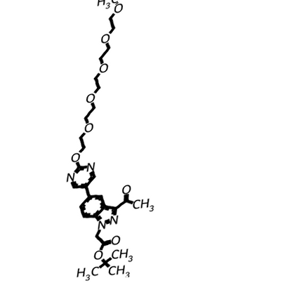 COCCOCCOCCOCCOCCOc1ncc(-c2ccc3c(c2)c(C(C)=O)nn3CC(=O)OC(C)(C)C)cn1